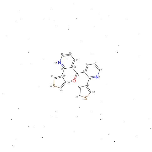 O=C(c1cccnc1-c1ccsc1)c1cccnc1-c1ccsc1